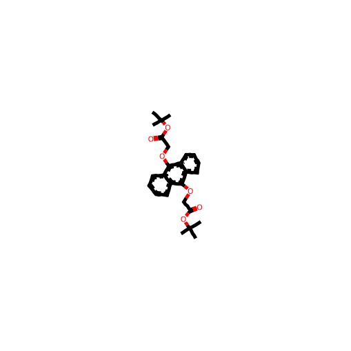 CC(C)(C)OC(=O)COc1c2ccccc2c(OCC(=O)OC(C)(C)C)c2ccccc12